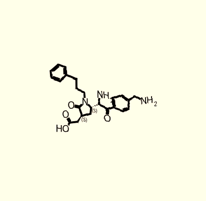 NCc1ccc(C(=O)C(N)[C@@H]2C[C@@H](CC(=O)O)C(=O)N2CCCc2ccccc2)cc1